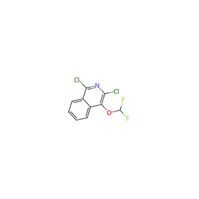 FC(F)Oc1c(Cl)nc(Cl)c2ccccc12